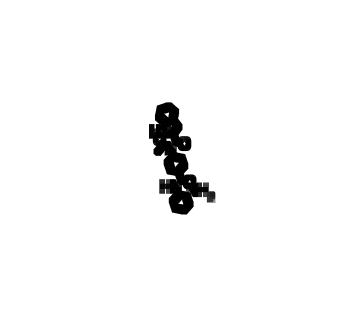 CC(=O)N(C(=O)c1cc2ccccc2[nH]1)c1ccc(C(=O)Nc2ccccc2N)cc1